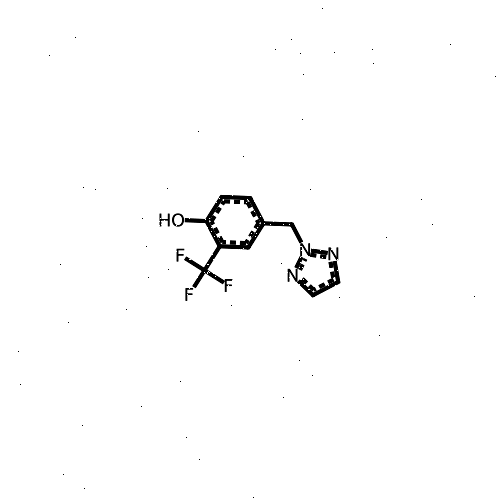 Oc1ccc(Cn2nccn2)cc1C(F)(F)F